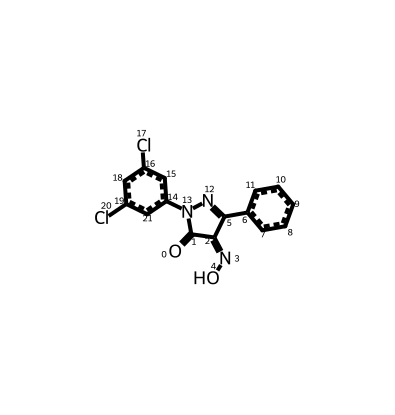 O=C1C(=NO)C(c2ccccc2)=NN1c1cc(Cl)cc(Cl)c1